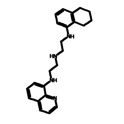 c1cc2c(c(NCCNCCNc3cccc4cccnc34)c1)CCCC2